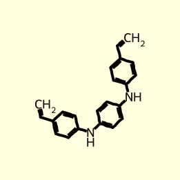 C=Cc1ccc(Nc2ccc(Nc3ccc(C=C)cc3)cc2)cc1